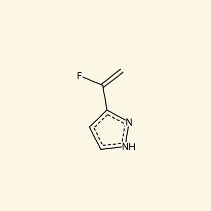 C=C(F)c1cc[nH]n1